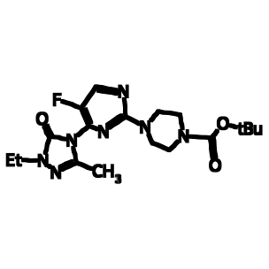 CCn1nc(C)n(-c2nc(N3CCN(C(=O)OC(C)(C)C)CC3)ncc2F)c1=O